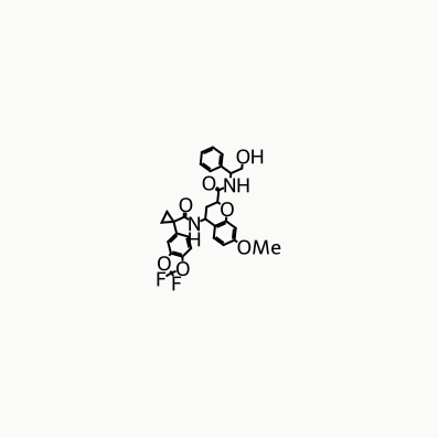 COc1ccc2c(c1)OC(C(=O)NC(CO)c1ccccc1)CC2NC(=O)C1(c2ccc3c(c2)OC(F)(F)O3)CC1